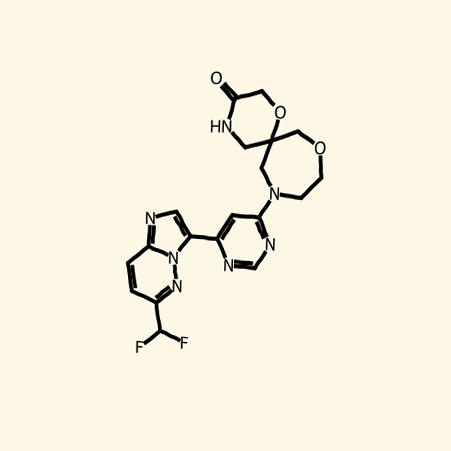 O=C1COC2(CN1)COCCN(c1cc(-c3cnc4ccc(C(F)F)nn34)ncn1)C2